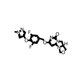 Cn1cc(Oc2c(F)cc(COc3cc4n(c(=O)n3)C[C@H]3COCN43)cc2F)cn1